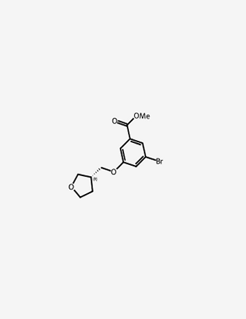 COC(=O)c1cc(Br)cc(OC[C@@H]2CCOC2)c1